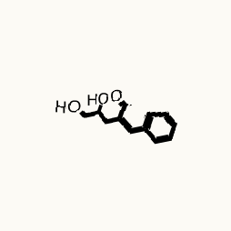 O=[C]C(=Cc1ccccc1)CC(O)CO